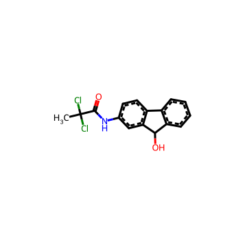 CC(Cl)(Cl)C(=O)Nc1ccc2c(c1)C(O)c1ccccc1-2